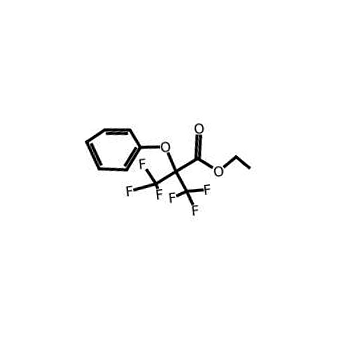 CCOC(=O)C(Oc1ccccc1)(C(F)(F)F)C(F)(F)F